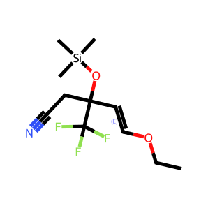 CCO/C=C/C(CC#N)(O[Si](C)(C)C)C(F)(F)F